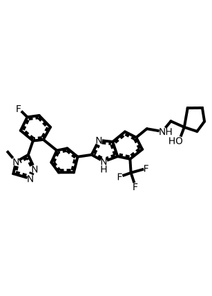 Cn1cnnc1-c1cc(F)ccc1-c1cccc(-c2nc3cc(CNCC4(O)CCCC4)cc(C(F)(F)F)c3[nH]2)c1